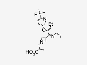 C=C(CN1CC(C(=N/C=C\C)/C(=C/CC)Oc2ccc(C(C)(F)F)nc2)C1)C(=O)O